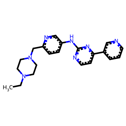 CCN1CCN(Cc2ccc(Nc3nccc(-c4cccnc4)n3)cn2)CC1